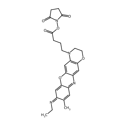 CC/N=c1/cc2oc3cc4c(cc3nc-2cc1C)OCCN4CCCC(=O)ON1C(=O)CCC1=O